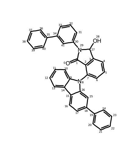 O=C1c2c(cccc2-n2c3ccccc3c3ccc(-c4ccccc4)cc32)C(O)N1c1cccc(-c2ccccc2)c1